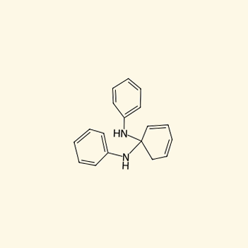 C1=CCC(Nc2ccccc2)(Nc2ccccc2)C=C1